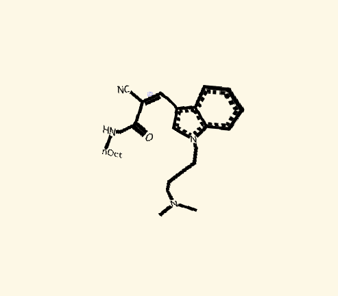 CCCCCCCCNC(=O)/C(C#N)=C\c1cn(CCN(C)C)c2ccccc12